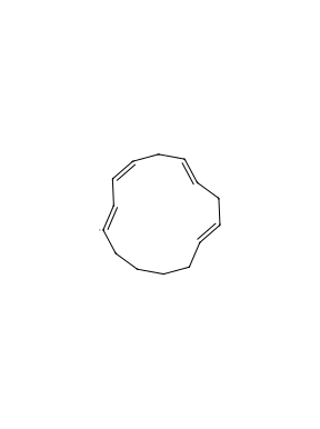 [C]1=C/C=C\C/C=C/C/C=C/CCCC/1